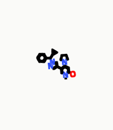 Cn1cc(-c2cnn(C(c3ccccc3)C3CC3)c2)c(N2CCCC2)cc1=O